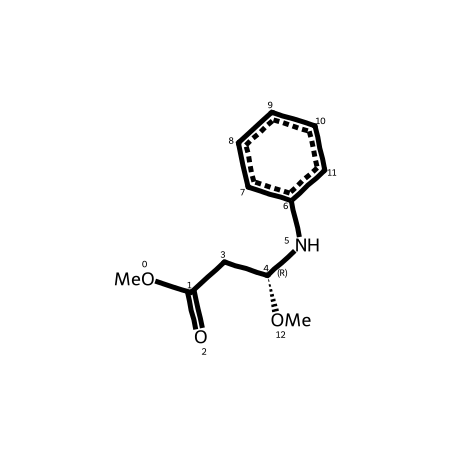 COC(=O)C[C@H](Nc1ccccc1)OC